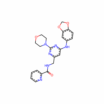 O=C(NCc1cc(Nc2ccc3c(c2)OCO3)nc(N2CCOCC2)n1)c1ccccn1